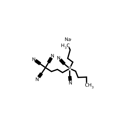 CCCCP(C#N)(C#N)(CCCC)CCCC(C#N)(C#N)C#N.[Na]